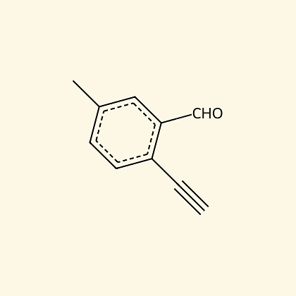 C#Cc1ccc(C)cc1C=O